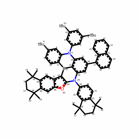 CC(C)(C)c1cc(N2c3cc(C(C)(C)C)ccc3B3c4c2cc(-c2cccc5ccccc25)cc4N(c2ccc4c(c2)C(C)(C)CCC4(C)C)c2oc4cc5c(cc4c23)C(C)(C)CCC5(C)C)cc(C(C)(C)C)c1